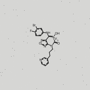 O=C(N(CCCc1cccnc1)c1nonc1C(=NO)Nc1ccc(F)c(Br)c1)C(F)(F)F